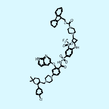 CC1(C)CCC(CN2CCN(c3ccc(C(=O)NS(=O)(=O)c4ccc(NC5CC(N6CCN(C(=O)OCC7c8ccccc8-c8ccccc87)CC6)C5)c(S(=O)(=O)C(F)(F)F)c4)c(Oc4cnc5[nH]ccc5c4)c3)CC2)=C(c2ccc(Cl)cc2)C1